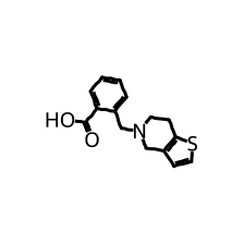 O=C(O)c1ccccc1CN1CCc2sccc2C1